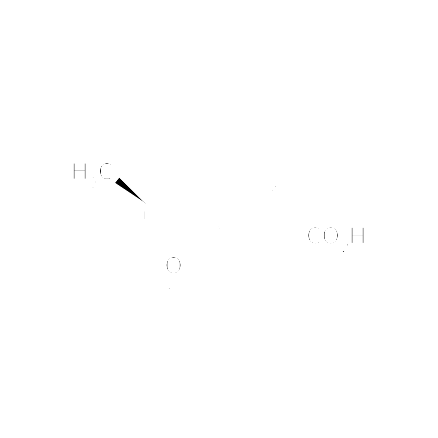 C[C@@H]1O[C@H]1CC(=O)O